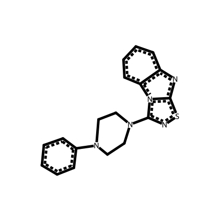 c1ccc(N2CCN(c3nsc4nc5ccccc5n34)CC2)cc1